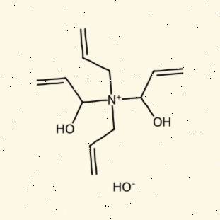 C=CC[N+](CC=C)(C(O)C=C)C(O)C=C.[OH-]